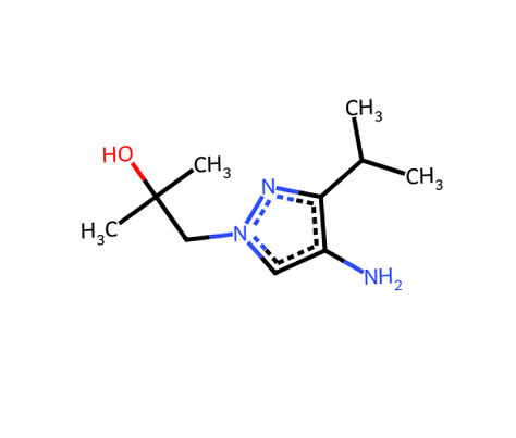 CC(C)c1nn(CC(C)(C)O)cc1N